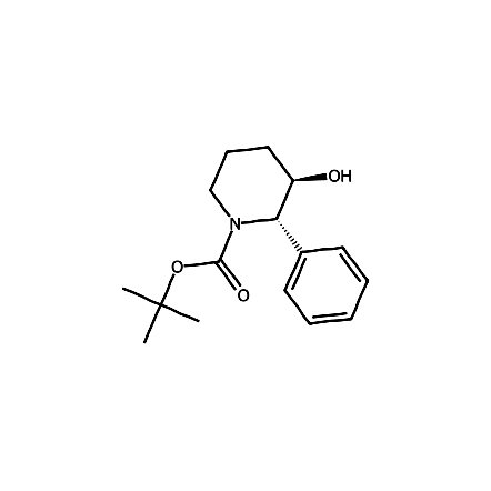 CC(C)(C)OC(=O)N1CCC[C@@H](O)[C@@H]1c1ccccc1